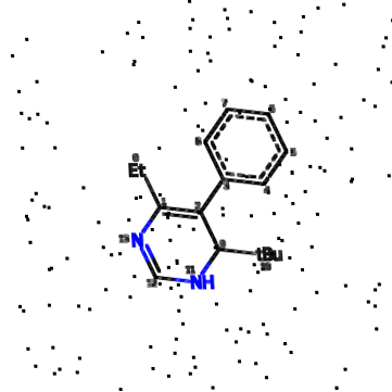 CCC1=C(c2ccccc2)C(C(C)(C)C)NC=N1